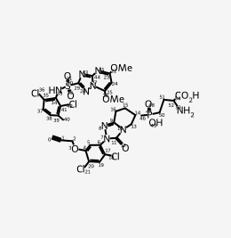 C#CCOc1cc(-n2nc3n(c2=O)CCCC3)c(Cl)cc1Cl.COc1cc(OC)n2nc(S(=O)(=O)Nc3c(Cl)ccc(C)c3Cl)nc2n1.CP(=O)(O)CCC(N)C(=O)O